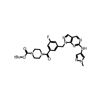 Cn1cc(Nc2ncc3cnn(Cc4cc(F)cc(C(=O)N5CCN(C(=O)OC(C)(C)C)CC5)c4)c3n2)cn1